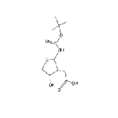 CC(C)(C)OC(=O)NC1OC[C@@H](O)[C@H]1CC(=O)O